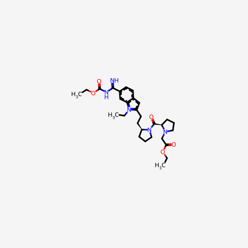 CCOC(=O)CN1CCC[C@@H]1C(=O)N1CCC[C@H]1CCc1cc2ccc(C(=N)NC(=O)OCC)cc2n1CC